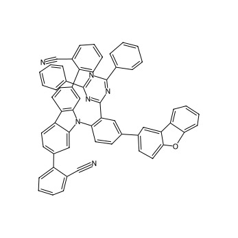 N#Cc1ccccc1-c1ccc2c3ccc(-c4ccccc4C#N)cc3n(-c3ccc(-c4ccc5oc6ccccc6c5c4)cc3-c3nc(-c4ccccc4)nc(-c4ccccc4)n3)c2c1